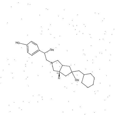 Oc1ccc(C(O)CN2CC3CC(O)(CC4CCCCC4)C[C@@H]3C2)cc1